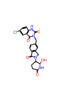 O=C1CCC(N2Cc3cc(Cn4c(=O)[nH]c5ccc(Cl)cc5c4=O)ccc3C2=O)C(O)N1